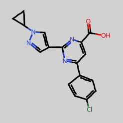 O=C(O)c1cc(-c2ccc(Cl)cc2)nc(-c2cnn(C3CC3)c2)n1